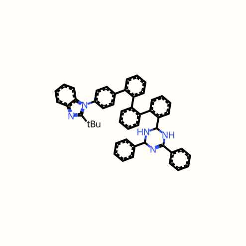 CC(C)(C)c1nc2ccccc2n1-c1ccc(-c2ccccc2-c2ccccc2-c2ccccc2C2NC(c3ccccc3)=NC(c3ccccc3)N2)cc1